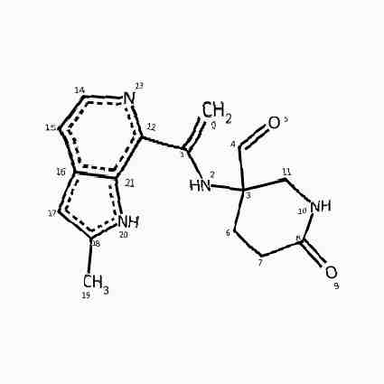 C=C(NC1(C=O)CCC(=O)NC1)c1nccc2cc(C)[nH]c12